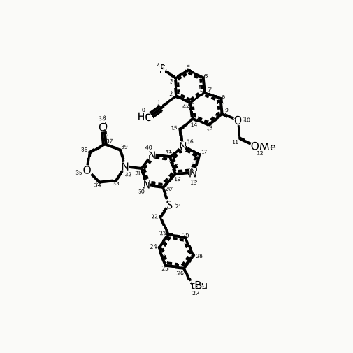 C#Cc1c(F)ccc2cc(OCOC)cc(Cn3cnc4c(SCc5ccc(C(C)(C)C)cc5)nc(N5CCOCC(=O)C5)nc43)c12